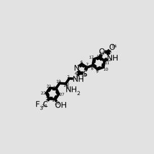 N[C@H](CNc1ncc(-c2ccc3[nH]c(=O)oc3c2)s1)Cc1ccc(C(F)(F)F)c(O)c1